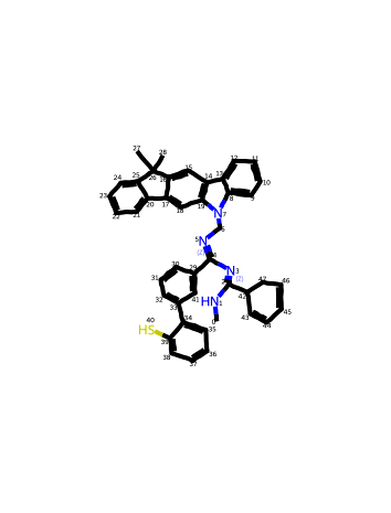 CN/C(=N\C(=N/Cn1c2ccccc2c2cc3c(cc21)-c1ccccc1C3(C)C)c1cccc(-c2ccccc2S)c1)C1C=CC=CC1